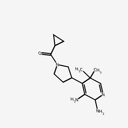 CC1(C)C=NC(N)C(N)=C1C1CCN(C(=O)C2CC2)C1